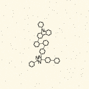 c1ccc(-c2ccc(-c3nc(-c4ccccc4)nn3-c3ccc(-c4ccccc4-c4ccccc4-c4ccc5c(c4)c4ccccc4n5-c4ccccc4)cc3)cc2)cc1